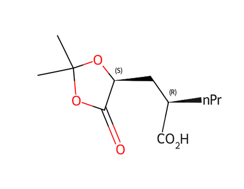 CCC[C@H](C[C@@H]1OC(C)(C)OC1=O)C(=O)O